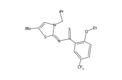 CCOc1ccc(C(F)(F)F)cc1C(=S)N=c1sc(C(C)(C)C)cn1CC(C)C